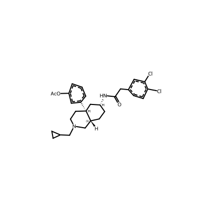 CC(=O)Oc1cccc([C@@]23CCN(CC4CC4)C[C@H]2CC[C@@H](NC(=O)Cc2ccc(Cl)c(Cl)c2)C3)c1